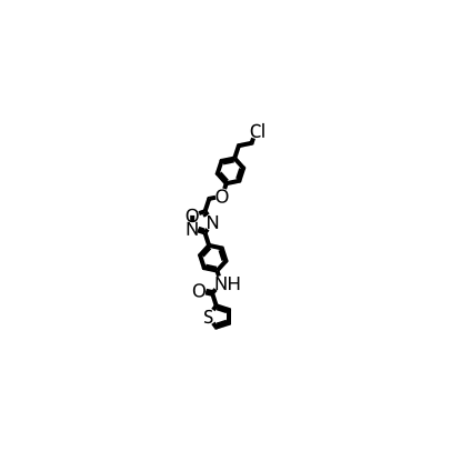 O=C(Nc1ccc(-c2noc(COc3ccc(CCCl)cc3)n2)cc1)c1cccs1